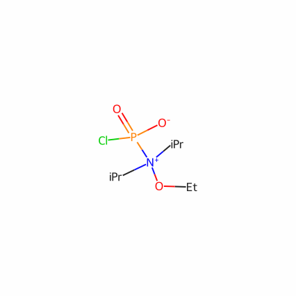 CCO[N+](C(C)C)(C(C)C)P(=O)([O-])Cl